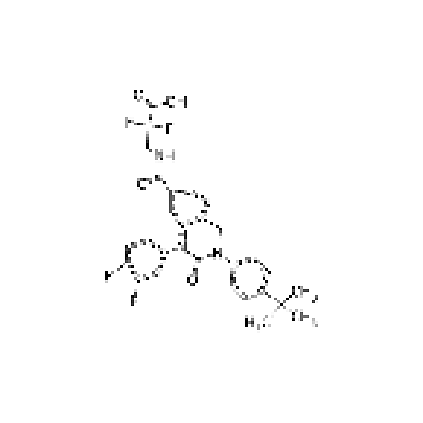 CC(C)(C)c1ccc(N(Cc2ccc(C(=O)NCC(F)(F)C(=O)O)cc2)C(=O)Nc2ccc(F)c(F)c2)cc1